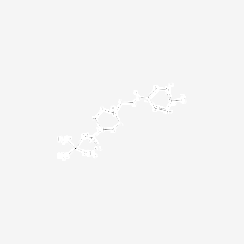 CC(C)(C)OC(=O)N1CCN(CCOc2cnc(Cl)nc2)CC1